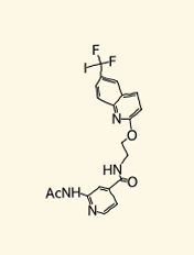 CC(=O)Nc1cc(C(=O)NCCOc2ccc3cc(C(F)(F)I)ccc3n2)ccn1